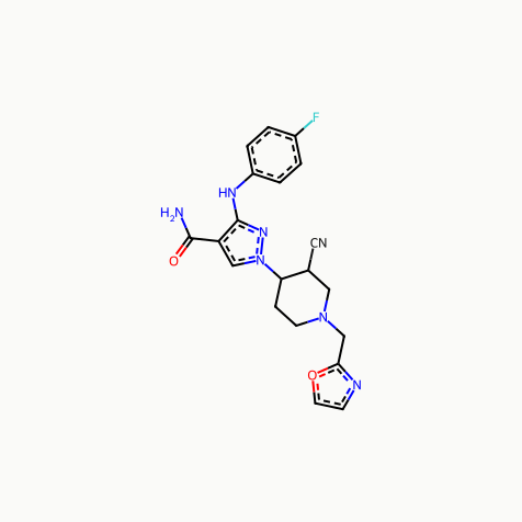 N#CC1CN(Cc2ncco2)CCC1n1cc(C(N)=O)c(Nc2ccc(F)cc2)n1